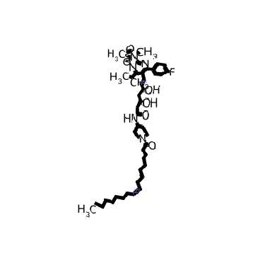 CCCCCCCC/C=C\CCCCCCCC(=O)N1CCC(NC(=O)C[C@H](O)C[C@H](O)/C=C/c2c(-c3ccc(F)cc3)nc(N(C)S(C)(=O)=O)nc2C(C)C)CC1